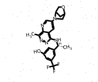 Cc1nnc(N[C@H](C)c2cc(O)cc(C(F)(F)F)c2)c2cc(N3CC4CC3CO4)cnc12